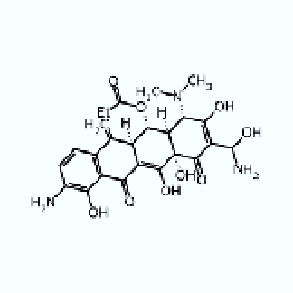 C=C1c2ccc(N)c(O)c2C(=O)C2=C(O)[C@]3(O)C(=O)C(C(N)O)=C(O)[C@@H](N(C)C)[C@@H]3[C@@H](OC(=O)CC)[C@H]12